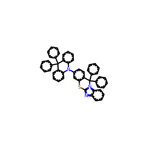 c1ccc(C2(c3ccccc3)c3ccccc3N(c3ccc4c(c3)Sc3nc5ccccc5n3C4(c3ccccc3)c3ccccc3)c3ccccc32)cc1